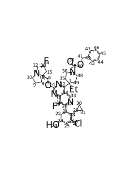 CCC1(c2nc(OC[C@@]34CCCN3C[C@H](F)C4)nc3c(F)c(-c4cc(O)cc(Cl)c4C4CC4)ncc23)CCN(C(=O)OCc2ccccc2)CC1